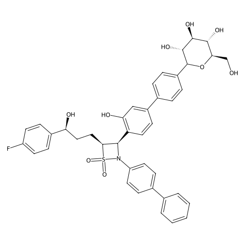 O=S1(=O)[C@@H](CC[C@H](O)c2ccc(F)cc2)[C@@H](c2ccc(-c3ccc(C4O[C@H](CO)[C@@H](O)[C@H](O)[C@H]4O)cc3)cc2O)N1c1ccc(-c2ccccc2)cc1